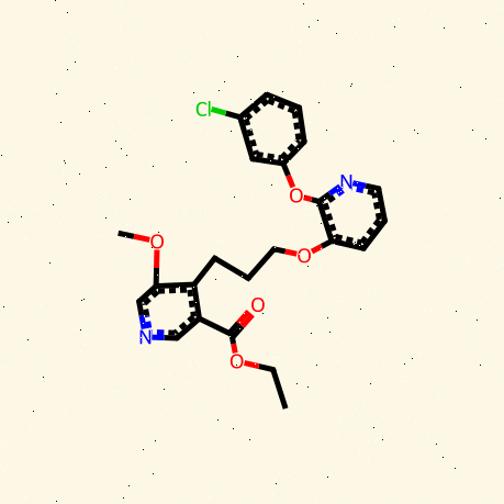 CCOC(=O)c1cncc(OC)c1CCCOc1cccnc1Oc1cccc(Cl)c1